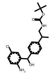 CC(CNC(=O)OC(C)(C)C)c1ccc(C(O)c2cc(Cl)ccc2N)cc1